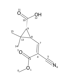 COC(=O)C(C#N)=CC1[C@@H](C(=O)O)C1(C)C